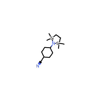 C[Si]1(C)CC[Si](C)(C)N1C1CCC(C#N)CC1